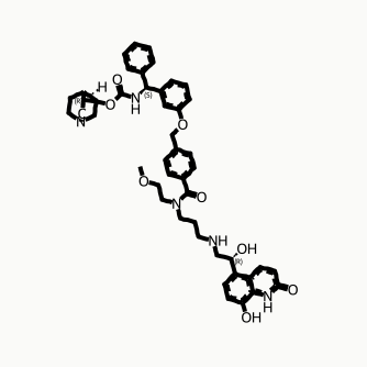 COCCN(CCCNC[C@H](O)c1ccc(O)c2[nH]c(=O)ccc12)C(=O)c1ccc(COc2cccc([C@@H](NC(=O)O[C@H]3CN4CCC3CC4)c3ccccc3)c2)cc1